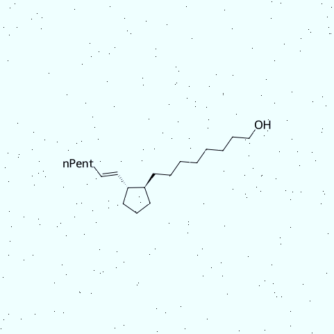 CCCCCC=C[C@H]1CCC[C@@H]1CCCCCCCCO